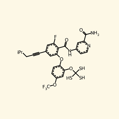 CC(C)CC#Cc1cc(F)c(C(=O)Nc2ccnc(C(N)=O)c2)c(Oc2ccc(OC(F)(F)F)cc2OC(S)(S)S)c1